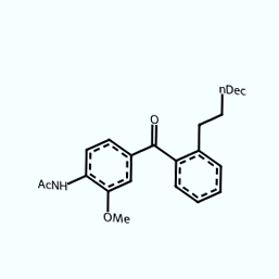 CCCCCCCCCCCCc1ccccc1C(=O)c1ccc(NC(C)=O)c(OC)c1